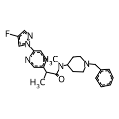 CC(C(=O)N(C)C1CCN(Cc2ccccc2)CC1)c1ccc(-n2cc(F)cn2)nc1